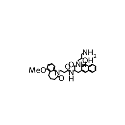 COc1cccc2c1CCCC(=O)N2CCC(=O)NC(Cc1ccc2ccccc2c1)C(=O)NCC(O)CN